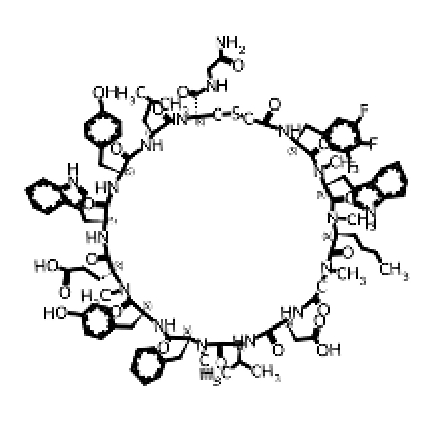 CCCC[C@H]1C(=O)N(C)CC(=O)N[C@@H](CC(=O)O)C(=O)N[C@@H](C(C)C)C(=O)N(C)[C@@H](Cc2ccccc2)C(=O)N[C@@H](Cc2ccc(O)cc2)C(=O)N(C)[C@H](CCC(=O)O)C(=O)N[C@@H](Cc2c[nH]c3ccccc23)C(=O)N[C@@H](Cc2ccc(O)cc2)C(=O)N[C@@H](CC(C)C)C(=O)N[C@H](C(=O)NCC(N)=O)CSCC(=O)N[C@@H](Cc2cc(F)c(F)c(F)c2)C(=O)N(C)[C@@H](Cc2c[nH]c3ccccc23)C(=O)N1C